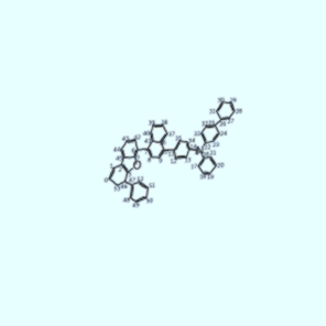 C1=Cc2c(oc3c(-c4ccc(-c5ccc(N(c6ccccc6)c6ccc(-c7ccccc7)cc6)cc5)c5ccccc45)cccc23)C(c2ccccc2)C1